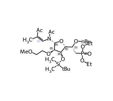 CCCCO[C@H](CP(=O)(OCC)OCC)[C@H]1O[C@@H](N(/C=C(/C)C(C)=O)C(C)=O)[C@H](OCCOC)[C@@H]1O[Si](C)(C)C(C)(C)C